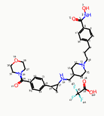 O=C(NO)c1ccc(CCCN2CCC(CNC3CC3c3ccc(C(=O)N4CCOCC4)cc3)CC2)cc1.O=C(O)C(F)(F)F